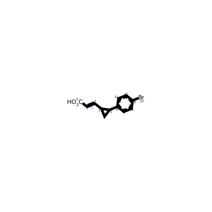 O=C(O)/C=C/C1CC1c1ccc(Br)cc1